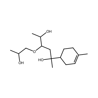 CC1=CCC(C(C)(O)CC(OCC(C)O)C(C)O)CC1